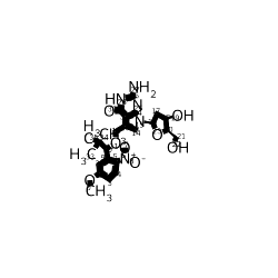 COc1ccc([N+](=O)[O-])c(C(OCc2cn([C@H]3C[C@@H](O)[C@@H](CO)O3)c3nc(N)[nH]c(=O)c23)C(C)(C)C)c1